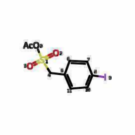 CC(=O)OS(=O)(=O)Cc1ccc(I)cc1